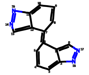 C1=c2c(cccc2=c2cccc3c2=CN=N3)N=N1